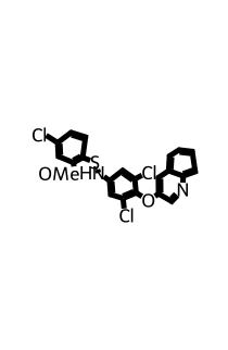 COc1cc(Cl)ccc1SNc1cc(Cl)c(Oc2cnc3ccccc3c2)c(Cl)c1